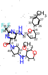 CO[C@H]1COCC[C@H]1NC1CCN(C(=O)c2cc(NC[C@H]3CCC[C@@H](C4C=CC(C)=CC4)O3)nc(C(F)(F)F)n2)CC1